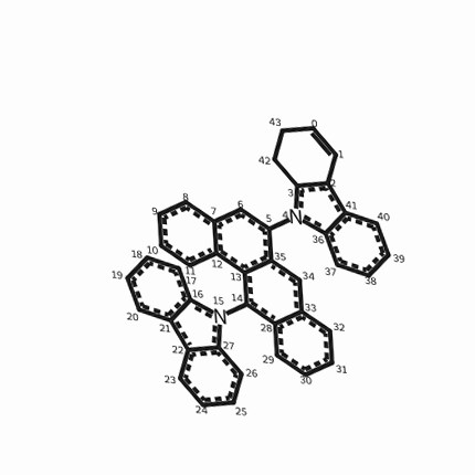 C1=Cc2c(n(-c3cc4ccccc4c4c(-n5c6ccccc6c6ccccc65)c5ccccc5cc34)c3ccccc23)CC1